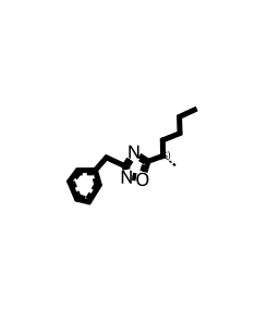 CCCC[C@H](C)c1nc(Cc2ccccc2)no1